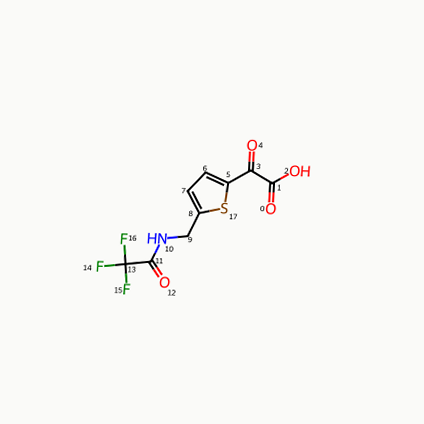 O=C(O)C(=O)c1ccc(CNC(=O)C(F)(F)F)s1